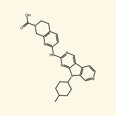 CC1CCC(n2c3cnccc3c3cnc(Nc4ccc5c(n4)CN(C(=O)O)CC5)nc32)CC1